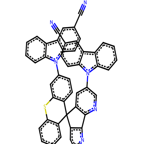 N#Cc1ccc2c(c1)c1ccccc1n2-c1ccc2c(c1)Sc1ccccc1C21c2cccnc2-c2ncc(-n3c4ccccc4c4cc(C#N)ccc43)cc21